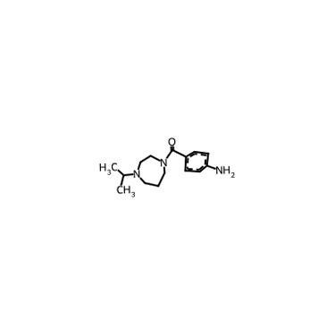 CC(C)N1CCCN(C(=O)c2ccc(N)cc2)CC1